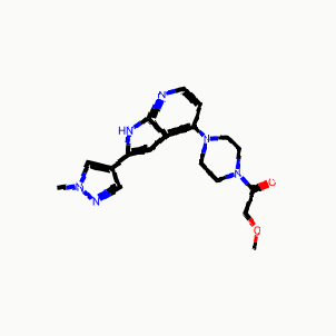 COCC(=O)N1CCN(c2ccnc3[nH]c(-c4cnn(C)c4)cc23)CC1